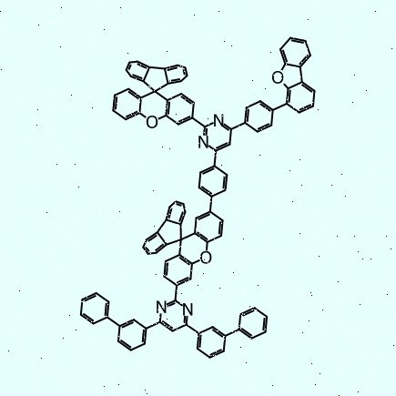 c1ccc(-c2cccc(-c3cc(-c4cccc(-c5ccccc5)c4)nc(-c4ccc5c(c4)Oc4ccc(-c6ccc(-c7cc(-c8ccc(-c9cccc%10c9oc9ccccc9%10)cc8)nc(-c8ccc9c(c8)Oc8ccccc8C98c9ccccc9-c9ccccc98)n7)cc6)cc4C54c5ccccc5-c5ccccc54)n3)c2)cc1